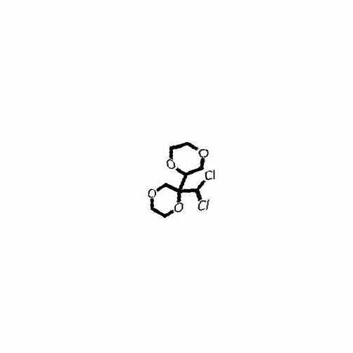 ClC(Cl)C1(C2COCCO2)COCCO1